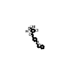 O=C(O)c1cc(Cl)cc(C(=O)C=Cc2ccc(OCc3ccc4ccccc4n3)cc2)c1O